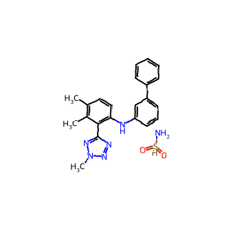 Cc1ccc(Nc2cccc(-c3ccccc3)c2)c(-c2nnn(C)n2)c1C.N[SH](=O)=O